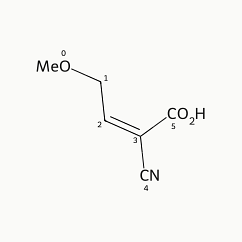 COCC=C(C#N)C(=O)O